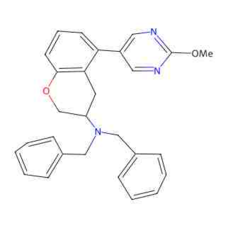 COc1ncc(-c2cccc3c2CC(N(Cc2ccccc2)Cc2ccccc2)CO3)cn1